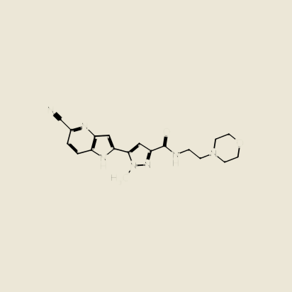 Cn1nc(C(=O)NCCN2CCOCC2)cc1-c1cc2nc(C#N)ccc2[nH]1